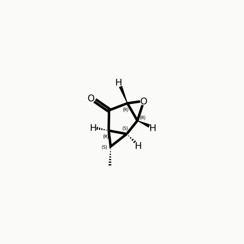 C[C@@H]1[C@H]2C(=O)[C@@H]3O[C@@H]3[C@@H]12